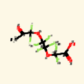 CC(=O)C(F)(F)OC(F)(F)C(F)(F)OC(F)(F)C(=O)O